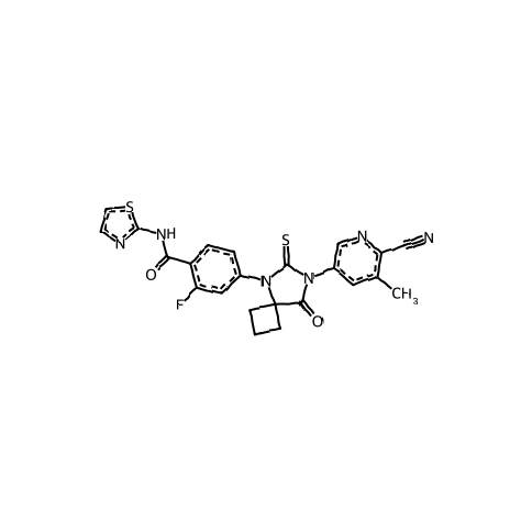 Cc1cc(N2C(=O)C3(CCC3)N(c3ccc(C(=O)Nc4nccs4)c(F)c3)C2=S)cnc1C#N